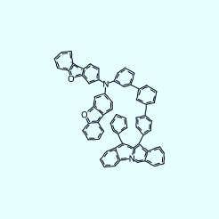 c1ccc(-c2c3ccccc3n3cc4ccccc4c(-c4ccc(-c5cccc(-c6cccc(N(c7ccc8c(c7)oc7ccccc78)c7ccc8c(c7)oc7ccccc78)c6)c5)cc4)c23)cc1